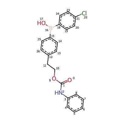 O=C(Nc1ccccc1)OCCc1ccc(B(O)c2ccc(Cl)cc2)cc1